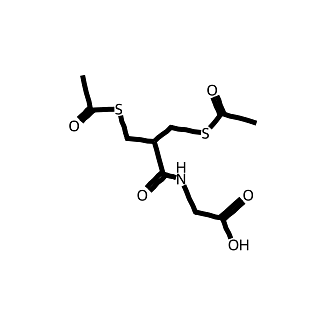 CC(=O)SCC(CSC(C)=O)C(=O)NCC(=O)O